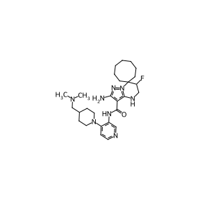 CN(C)CC1CCN(c2ccncc2NC(=O)c2c(N)nn3c2NCC(F)C32CCCCCCC2)CC1